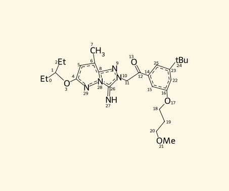 CCC(CC)Oc1cc(C)c2nn(CC(=O)c3cc(OCCCOC)cc(C(C)(C)C)c3)c(=N)n2n1